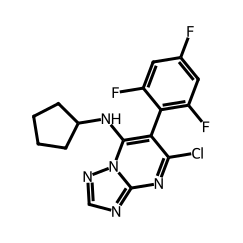 Fc1cc(F)c(-c2c(Cl)nc3ncnn3c2NC2CCCC2)c(F)c1